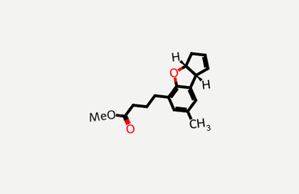 COC(=O)CCCc1cc(C)cc2c1O[C@@H]1CC=C[C@H]21